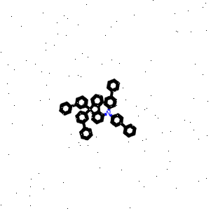 c1ccc(-c2ccc(N(c3ccc(-c4ccccc4)cc3)c3cccc4c3-c3ccccc3C4(c3cccc(-c4ccccc4)c3)c3cccc(-c4ccccc4)c3)cc2)cc1